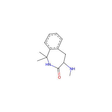 CNC1Cc2ccccc2C(C)(C)NC1=O